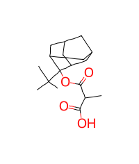 CC(C(=O)O)C(=O)OC1(C(C)(C)C)C2CC3CC(C2)CC1C3